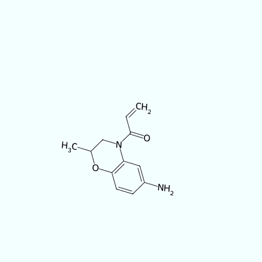 C=CC(=O)N1CC(C)Oc2ccc(N)cc21